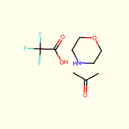 C1COCCN1.CC(C)=O.O=C(O)C(F)(F)F